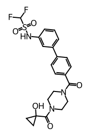 O=C(c1ccc(-c2cccc(NS(=O)(=O)C(F)F)c2)cc1)N1CCN(C(=O)C2(O)CC2)CC1